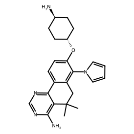 CC1(C)Cc2c(ccc(O[C@H]3CC[C@H](N)CC3)c2-n2cccc2)-c2ncnc(N)c21